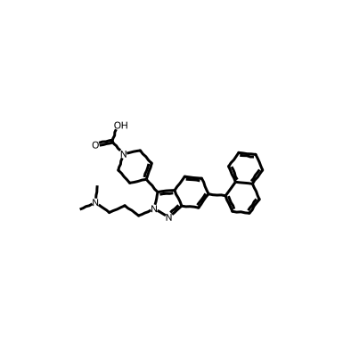 CN(C)CCCn1nc2cc(-c3cccc4ccccc34)ccc2c1C1=CCN(C(=O)O)CC1